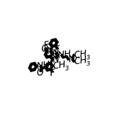 CCN(CC)CCCNc1nc(-c2cc(C(=O)Nc3ccccc3)cc(F)c2C)c2ccc(=O)n(-c3c(F)cccc3F)c2n1